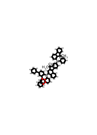 CC1(C)c2cc(N(c3ccccc3)c3cccc4c3C(C)(C)c3ccccc3-4)ccc2-c2c1cc(N(c1ccc(-c3ccccc3)cc1-c1ccccc1)c1cccc3c1Cc1ccccc1-3)c1ccccc21